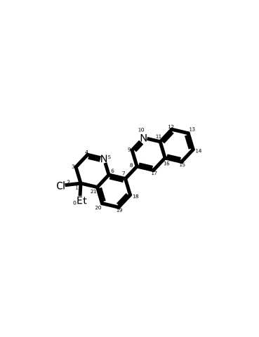 CCC1(Cl)CC=Nc2c(-c3cnc4ccccc4c3)cccc21